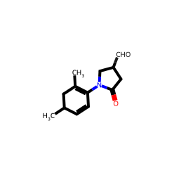 CC1=C(N2CC(C=O)CC2=O)C=CC(C)C1